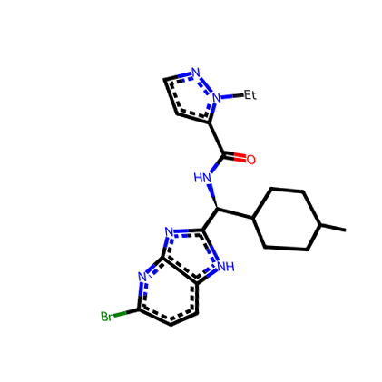 CCn1nccc1C(=O)N[C@H](c1nc2nc(Br)ccc2[nH]1)C1CCC(C)CC1